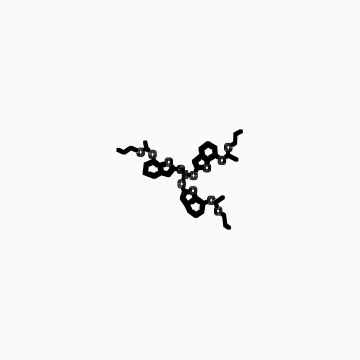 CCCOC(C)Oc1cccc2cc(OB(Oc3cc4cccc(OC(C)OCCC)c4o3)Oc3cc4cccc(OC(C)OCCC)c4o3)oc12